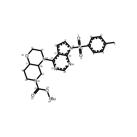 Cc1ccc(S(=O)(=O)n2ccc3c(N4CCOC5CCN(C(=O)OC(C)(C)C)CC54)ncnc32)cc1